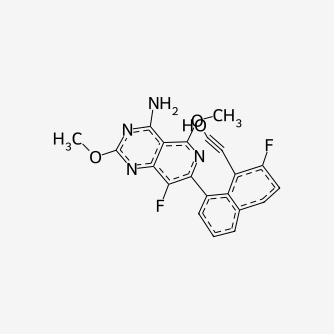 COc1nc(N)c2c(OC)nc(-c3cccc4ccc(F)c(C#CO)c34)c(F)c2n1